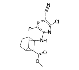 COC(=O)C1C2CCC(CC2)C1Nc1nc(Cl)c(C#N)cc1F